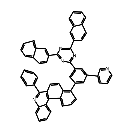 c1ccc(-c2nc3ccccc3c3c2ccc2c(-c4cc(-c5cccnc5)cc(-c5nc(-c6ccc7ccccc7c6)nc(-c6ccc7ccccc7c6)n5)c4)cccc23)cc1